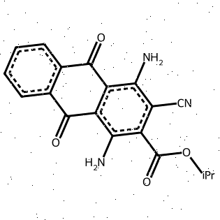 CC(C)OC(=O)c1c(N)c2c(c(N)c1C#N)C(=O)c1ccccc1C2=O